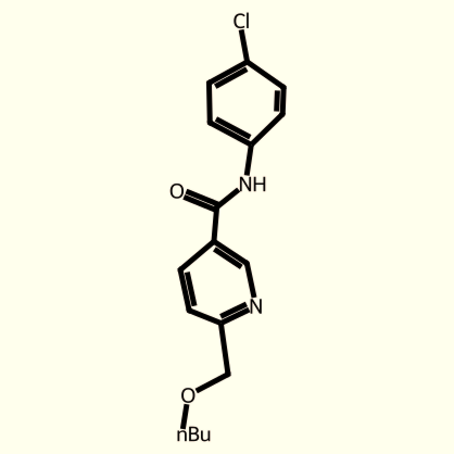 CCCCOCc1ccc(C(=O)Nc2ccc(Cl)cc2)cn1